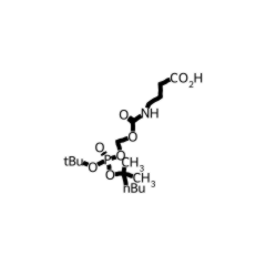 CCCCC(C)(C)OP(=O)(OCOC(=O)NCCCC(=O)O)OC(C)(C)C